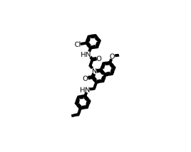 CCc1ccc(NCc2cc3ccc(OC)cc3n(CC(=O)Nc3ccccc3Cl)c2=O)cc1